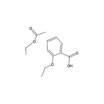 CCOC(C)=O.CCOc1ccccc1C(=O)O